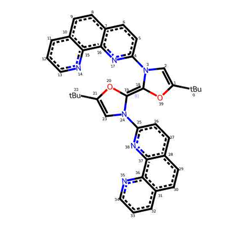 CC(C)(C)C1=CN(c2ccc3ccc4cccnc4c3n2)/C(=C2\OC(C(C)(C)C)=CN2c2ccc3ccc4cccnc4c3n2)O1